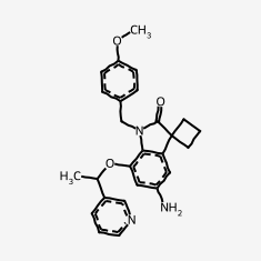 COc1ccc(CN2C(=O)C3(CCC3)c3cc(N)cc(OC(C)c4cccnc4)c32)cc1